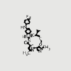 Cc1cc2cc(n1)-c1cnn(C)c1OCCCC(C1CC1)CN1/C(=N/C2=O)Nc2cc(NC3CCC(F)(F)CC3)ccc21